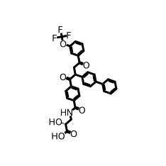 O=C(CC(C(=O)c1ccc(C(=O)NC[C@@H](O)C(=O)O)cc1)c1ccc(-c2ccccc2)cc1)c1cccc(OC(F)(F)F)c1